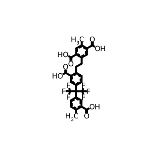 Cc1ccc(C(c2ccc(CCc3cc(C(=O)O)c(C)cc3C(=O)O)c(C(=O)O)c2)(C(F)(F)F)C(F)(F)F)cc1C(=O)O